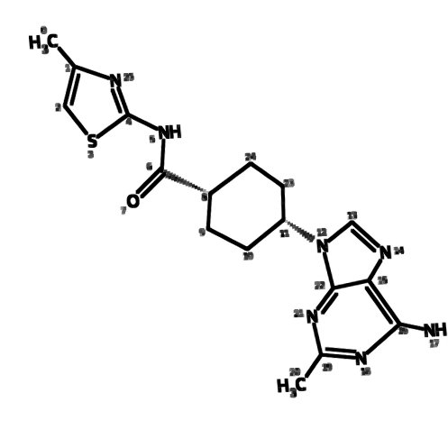 Cc1csc(NC(=O)[C@H]2CC[C@@H](n3cnc4c(N)nc(C)nc43)CC2)n1